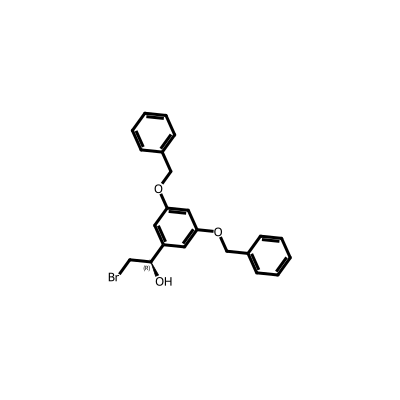 O[C@@H](CBr)c1cc(OCc2ccccc2)cc(OCc2ccccc2)c1